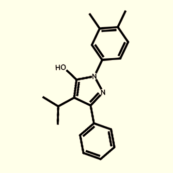 Cc1ccc(-n2nc(-c3ccccc3)c(C(C)C)c2O)cc1C